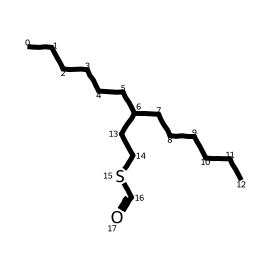 CCCCCCC(CCCCCC)CCSC=O